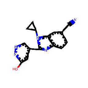 N#Cc1ccc2nc(-c3cnnc(O)c3)n(C3CC3)c2c1